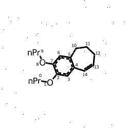 CCCOc1cc2c(cc1OCCC)CCC[C]=C2